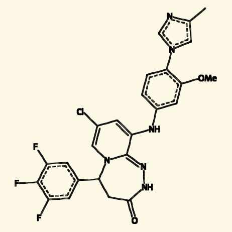 COc1cc(NC2=CC(Cl)=CN3C2=NNC(=O)CC3c2cc(F)c(F)c(F)c2)ccc1-n1cnc(C)c1